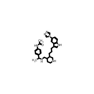 CC(=O)Nc1ccc(C(C)NCC2CCNCC2CCCc2c[nH]c3ccc(-n4cnnc4)cc23)cc1